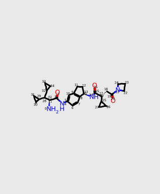 N[C@H](C(=O)Nc1ccc2c(c1)CC[C@H]2NC(=O)[C@H](CC(=O)N1CCC1)C1CC1)C(C1CC1)C1CC1